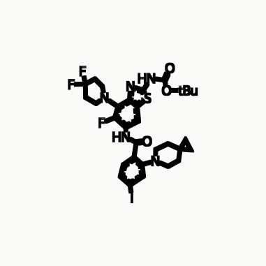 CC(C)(C)OC(=O)Nc1nc2c(N3CCC(F)(F)CC3)c(F)c(NC(=O)c3ccc(I)cc3N3CCC4(CC3)CC4)cc2s1